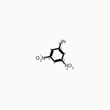 CC(C)c1cc([N+](=O)[O-])cc([N+](=O)[O-])c1